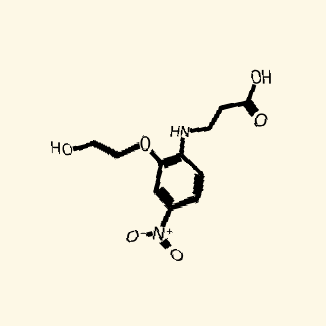 O=C(O)CCNc1ccc([N+](=O)[O-])cc1OCCO